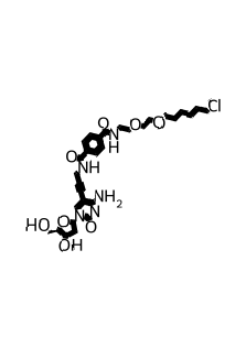 Nc1nc(=O)n([C@H]2CC(O)[C@@H](CO)O2)cc1C#CCNC(=O)c1ccc(C(=O)NCCOCCOCCCCCCCl)cc1